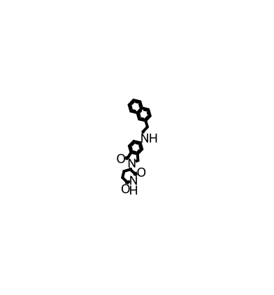 O=C1CCC(N2Cc3cc(NCCc4ccc5ccccc5c4)ccc3C2=O)C(=O)N1